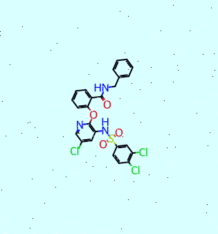 O=C(NCc1ccccc1)c1ccccc1Oc1ncc(Cl)cc1NS(=O)(=O)c1ccc(Cl)c(Cl)c1